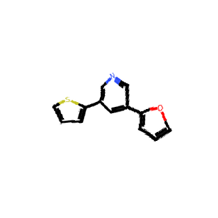 c1coc(-c2cncc(-c3cccs3)c2)c1